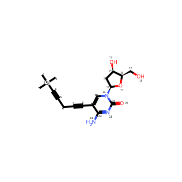 C[Si](C)(C)C#CCC#Cc1cn([C@H]2C[C@@H](O)[C@@H](CO)O2)c(=O)nc1N